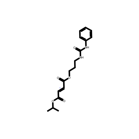 CC(C)OC(=O)/C=C/C(=O)OCCCNC(=O)Nc1ccccc1